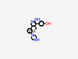 CCc1c(-c2cccc(N3CCNCC3)c2)cnc(N)c1-c1ccc(O)cc1